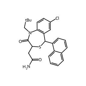 CC(C)(C)CN1C(=O)C(CC(N)=O)SC(c2cccc3ccccc23)c2cc(Cl)ccc21